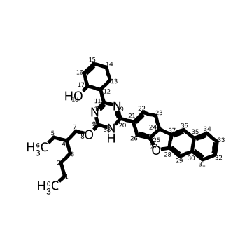 CCCCC(CC)COC1N=C(C2CCC=CC2O)N=C(C2=CCC3C(=C2)Oc2cc4ccccc4cc23)N1